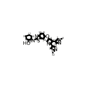 Cn1cc(-c2cc(Oc3ccc4nc(N[C@@H]5CCCC[C@H]5O)sc4c3)cnc2-c2cnn(C)c2)cn1